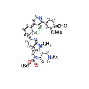 COc1cc(-c2nccc(-c3cccc(-c4ccc5c(CN(C(=O)OC(C)(C)C)C6CCN(C(C)=O)CC6)cn(C)c5n4)c3Cl)c2Cl)ccc1C=O